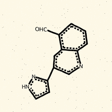 O=Cc1cccc2ncc(-c3cc[nH]n3)cc12